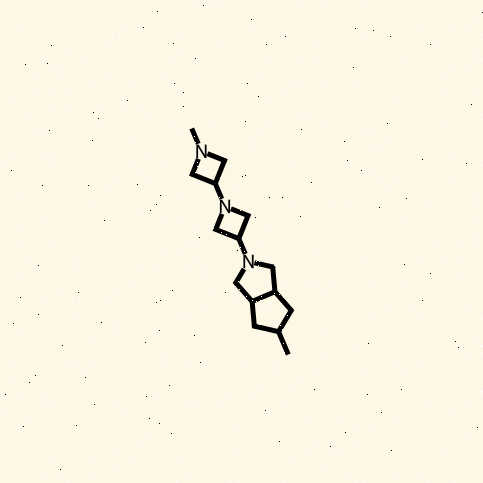 CC1CC2CN(C3CN(C4CN(C)C4)C3)CC2C1